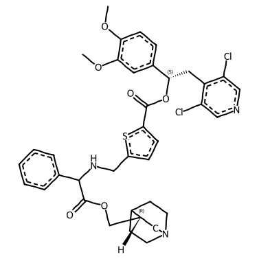 COc1ccc([C@H](Cc2c(Cl)cncc2Cl)OC(=O)c2ccc(CNC(C(=O)OC[C@H]3CN4CCC3CC4)c3ccccc3)s2)cc1OC